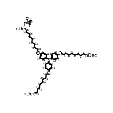 CCCCCCCCCCCCCCCCCCOc1ccc([S+](c2ccc(OCCCCCCCCCCCCCCCCCC)cc2)c2ccc(OCCCCCCCCCCCCCCCCCC)cc2)cc1.F[B-](F)(F)F